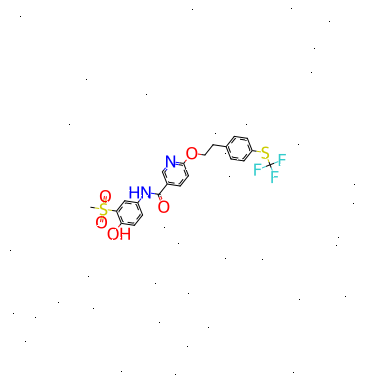 CS(=O)(=O)c1cc(NC(=O)c2ccc(OCCc3ccc(SC(F)(F)F)cc3)nc2)ccc1O